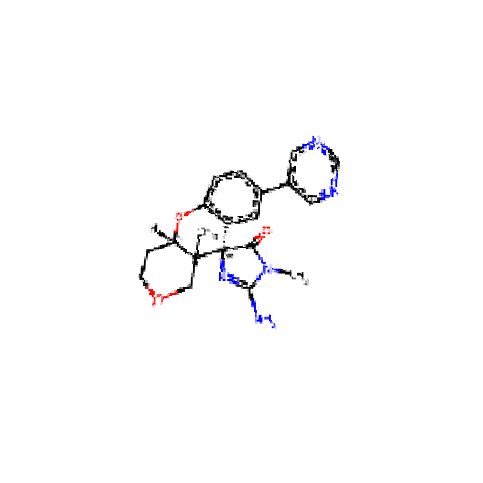 CN1C(=O)[C@]2(N=C1N)c1cc(-c3cncnc3)ccc1O[C@H]1CCOCC12C